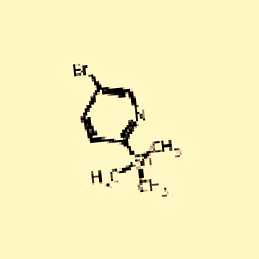 [CH3][Sn]([CH3])([CH3])[c]1ccc(Br)cn1